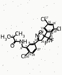 CC(C)C(=O)NCc1cc(C2=NOC(c3cc(Cl)cc(Cl)c3)(C(F)(F)F)C2)ccc1Cl